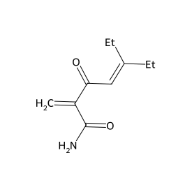 C=C(C(N)=O)C(=O)C=C(CC)CC